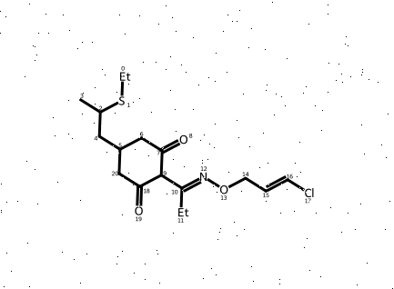 CCSC(C)CC1CC(=O)C(C(CC)=NOCC=CCl)C(=O)C1